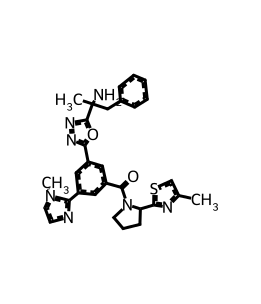 Cc1csc(C2CCCN2C(=O)c2cc(-c3nnc(C(C)(N)Cc4ccccc4)o3)cc(-c3nccn3C)c2)n1